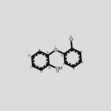 [O]c1ccccc1Oc1ccccc1O